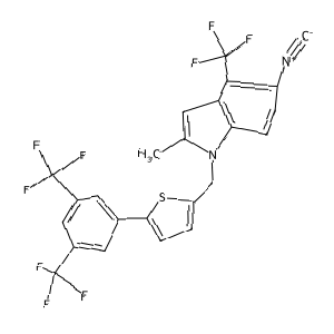 [C-]#[N+]c1ccc2c(cc(C)n2Cc2ccc(-c3cc(C(F)(F)F)cc(C(F)(F)F)c3)s2)c1C(F)(F)F